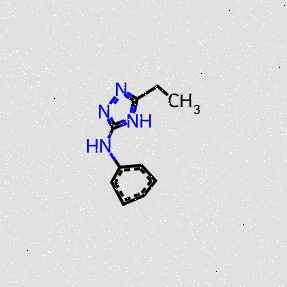 CCc1nnc(Nc2ccccc2)[nH]1